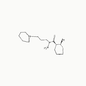 CC(=O)[C@H]1CCCC[C@H]1C(=O)N(N)CCCN1CCCCC1